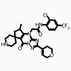 CC1CC2(CCNCC2)c2c1n(CC(=O)Nc1ccc(C(F)(F)F)cc1Cl)c1nc(C3=CCOCC3)nn1c2=O